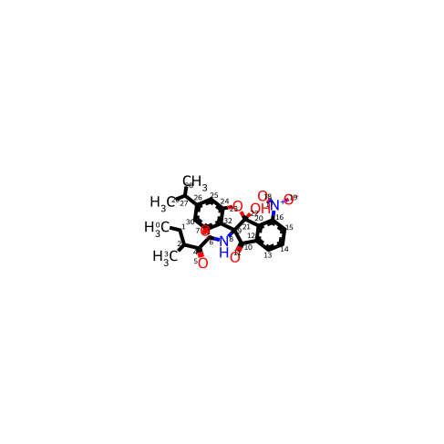 CCC(C)C(=O)C(=O)NC12C(=O)c3cccc([N+](=O)[O-])c3C1(O)Oc1cc(C(C)C)ccc12